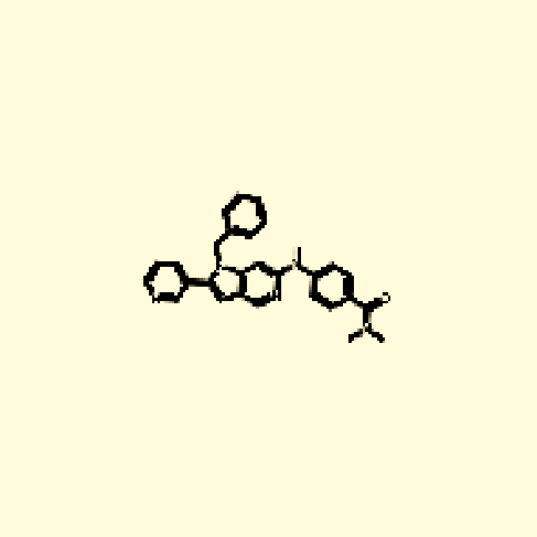 CN(C)C(=O)c1ccc(Nc2cc3c(cn2)cc(-c2cccnc2)n3Cc2ccccc2)cc1